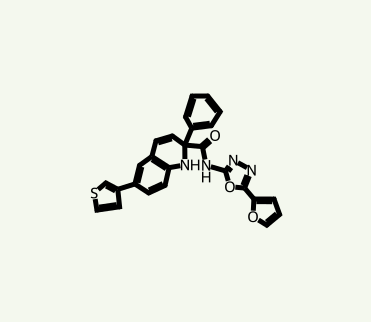 O=C(Nc1nnc(-c2ccco2)o1)C1(c2ccccc2)C=Cc2cc(-c3ccsc3)ccc2N1